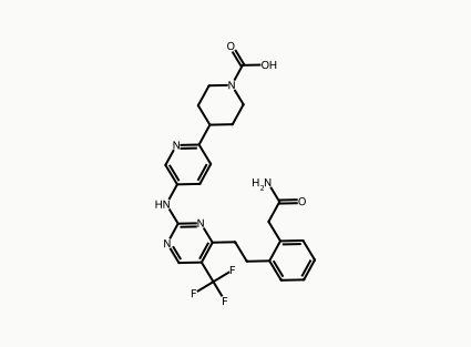 NC(=O)Cc1ccccc1CCc1nc(Nc2ccc(C3CCN(C(=O)O)CC3)nc2)ncc1C(F)(F)F